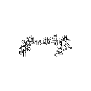 Cc1sc2c(c1C)C(c1ccc(Cl)cc1)=N[C@@H](CC(=O)NCCN1CCN(CCCCSc3cccc4c3CN(C3CCC(=O)NC3=O)C4=O)CC1)c1nnc(C)n1-2